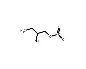 CCC(N)CO[N+](=O)[O-]